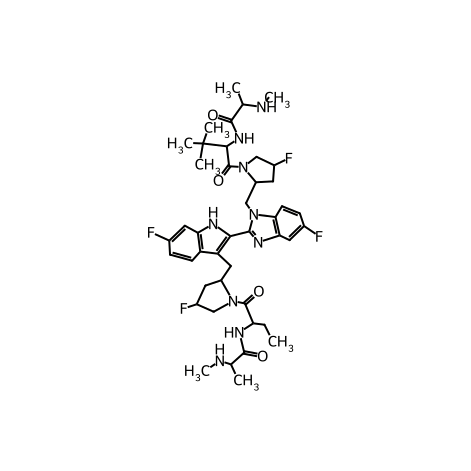 CCC(NC(=O)C(C)NC)C(=O)N1CC(F)CC1Cc1c(-c2nc3cc(F)ccc3n2CC2CC(F)CN2C(=O)C(NC(=O)C(C)NC)C(C)(C)C)[nH]c2cc(F)ccc12